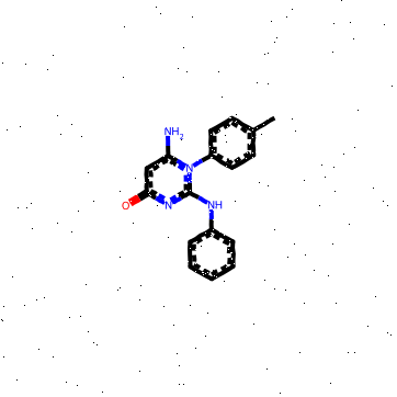 Cc1ccc(-n2c(N)cc(=O)nc2Nc2ccccc2)cc1